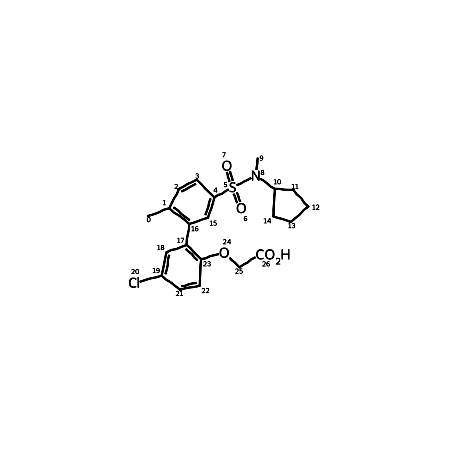 Cc1ccc(S(=O)(=O)N(C)C2CCCC2)cc1-c1cc(Cl)ccc1OCC(=O)O